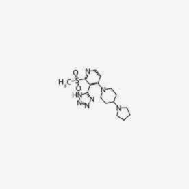 CS(=O)(=O)c1nccc(N2CCC(N3CCCC3)CC2)c1-c1nnn[nH]1